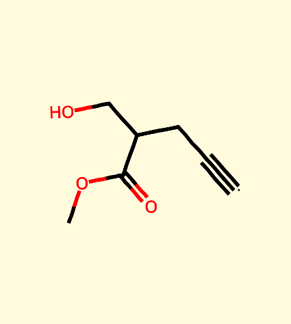 [C]#CCC(CO)C(=O)OC